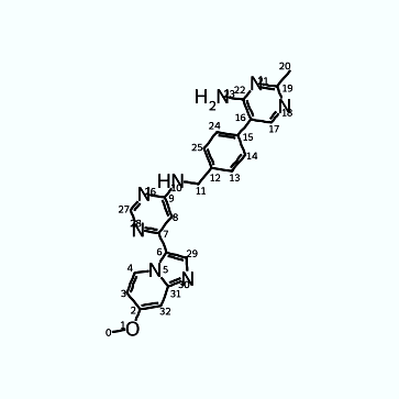 COc1ccn2c(-c3cc(NCc4ccc(-c5cnc(C)nc5N)cc4)ncn3)cnc2c1